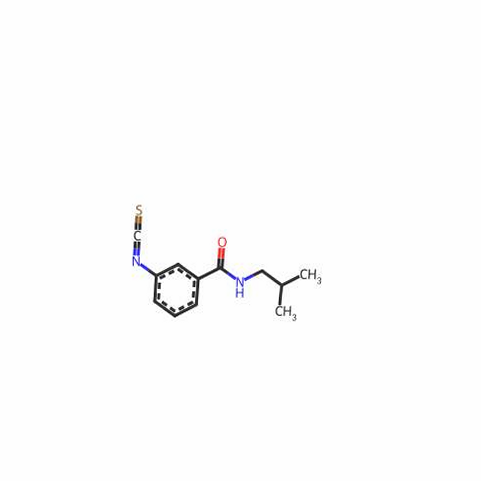 CC(C)CNC(=O)c1cccc(N=C=S)c1